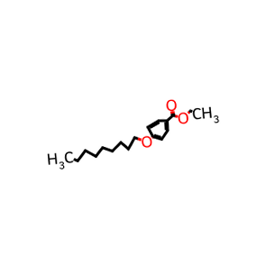 CCCCCCCCCOc1ccc(C(=O)OCC)cc1